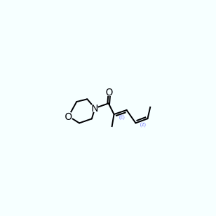 C/C=C\C=C(/C)C(=O)N1CCOCC1